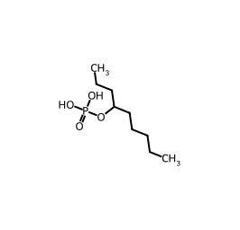 CCCCCC(CCC)OP(=O)(O)O